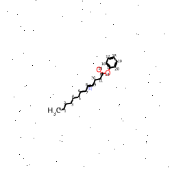 CCCCCCCC/C=C/CCC(=O)Oc1ccccc1